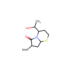 CNC1CC2SCCC(C(C)O)N2C1=O